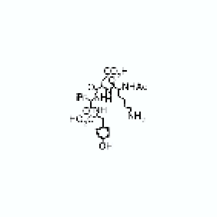 CC(=O)NC(CCCCN)C(=O)NC(CCC(=O)O)C(=O)NC(C(=O)NC(Cc1ccc(O)cc1)C(=O)O)C(C)C